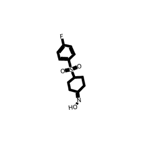 O=S(=O)(c1ccc(F)cc1)C1CCC(=NO)CC1